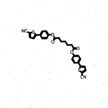 N#Cc1ccc(-c2ccc(OC(=O)CCCCCC(=O)Oc3ccc(-c4ccc(C#N)s4)cc3)cc2)s1